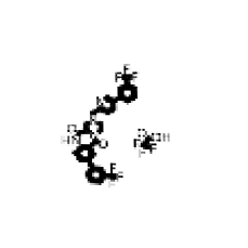 O=C(O)C(F)(F)F.O=C1Nc2ccc(-c3cccc(C(F)(F)F)c3)cc2C(=O)N2CCN(Cc3ccc(-c4cccc(C(F)(F)F)c4)cn3)CC12